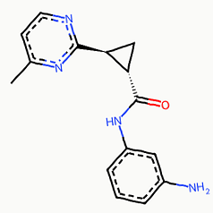 Cc1ccnc([C@H]2C[C@@H]2C(=O)Nc2cccc(N)c2)n1